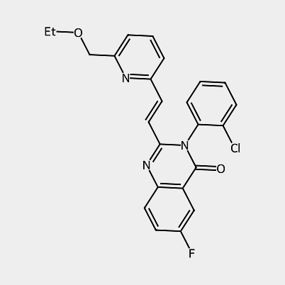 CCOCc1cccc(C=Cc2nc3ccc(F)cc3c(=O)n2-c2ccccc2Cl)n1